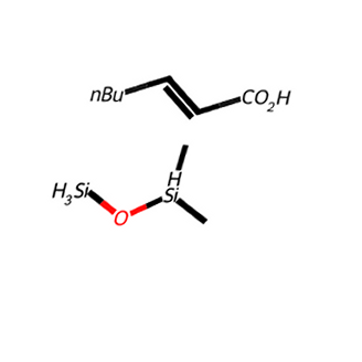 CCCCC=CC(=O)O.C[SiH](C)O[SiH3]